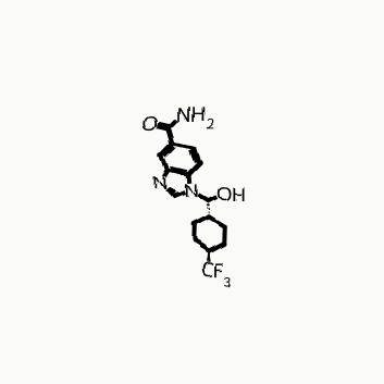 NC(=O)c1ccc2c(c1)ncn2C(O)[C@H]1CC[C@H](C(F)(F)F)CC1